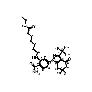 CCOC(=O)CCCCCCNc1cc(-n2nc(C(F)(F)F)c3c2CC(C)(C)CC3=O)ccc1C(N)=O